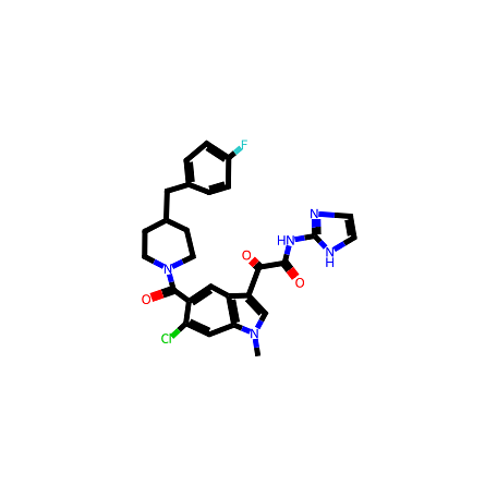 Cn1cc(C(=O)C(=O)Nc2ncc[nH]2)c2cc(C(=O)N3CCC(Cc4ccc(F)cc4)CC3)c(Cl)cc21